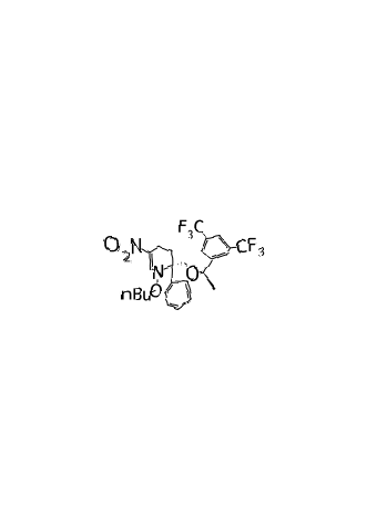 CCCCON1C=C([N+](=O)[O-])CC[C@@]1(CO[C@H](C)c1cc(C(F)(F)F)cc(C(F)(F)F)c1)c1ccccc1